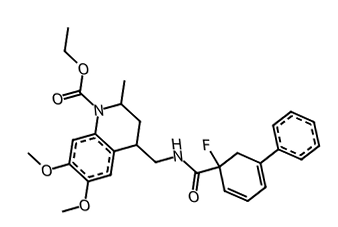 CCOC(=O)N1c2cc(OC)c(OC)cc2C(CNC(=O)C2(F)C=CC=C(c3ccccc3)C2)CC1C